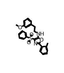 COc1cccc(CCNc2oc(-c3ccccc3C)nc2S(=O)(=O)c2ccccc2)c1